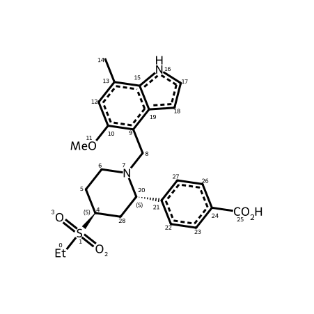 CCS(=O)(=O)[C@H]1CCN(Cc2c(OC)cc(C)c3[nH]ccc23)[C@H](c2ccc(C(=O)O)cc2)C1